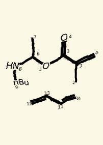 C=C(C)C(=O)OC(C)NCCCC.C=CC=C